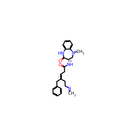 C=NCC/C(=C\CC(=O)N[C@H]1CN(C)c2ccccc2NC1=O)Cc1ccccc1